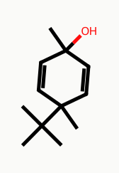 CC1(O)C=CC(C)(C(C)(C)C)C=C1